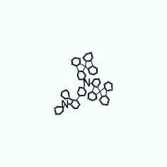 c1ccc(-n2c3ccccc3c3c(-c4ccc(N(c5ccc6c(c5)C5(c7ccccc7-c7ccccc75)c5ccccc5-6)c5cccc6c5-c5ccccc5C65c6ccccc6-c6ccccc65)cc4)cccc32)cc1